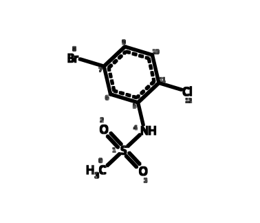 CS(=O)(=O)Nc1cc(Br)ccc1Cl